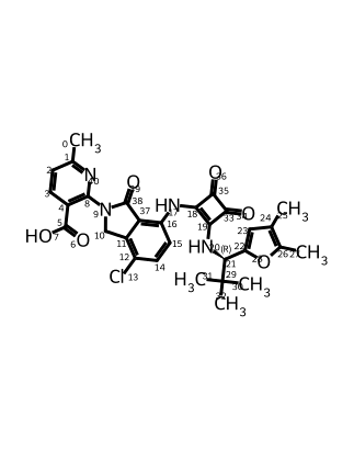 Cc1ccc(C(=O)O)c(N2Cc3c(Cl)ccc(Nc4c(N[C@@H](c5cc(C)c(C)o5)C(C)(C)C)c(=O)c4=O)c3C2=O)n1